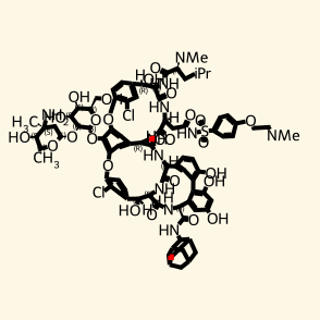 CNCCOc1ccc(S(=O)(=O)NC(=O)C[C@@H]2NC(=O)[C@H](NC(=O)[C@@H](CC(C)C)NC)[C@H](O)c3ccc(c(Cl)c3)Oc3cc4cc(c3O[C@@H]3O[C@H](CO)[C@@H](O)[C@H](O)[C@H]3O[C@H]3C[C@](C)(N)[C@H](O)[C@H](C)O3)Oc3ccc(cc3Cl)[C@@H](O)[C@@H]3NC(=O)[C@H](NC(=O)[C@@H]4NC2=O)c2ccc(O)c(c2)-c2c(O)cc(O)cc2[C@@H](C(=O)NC2C4CC5CC(C4)CC2C5)NC3=O)cc1